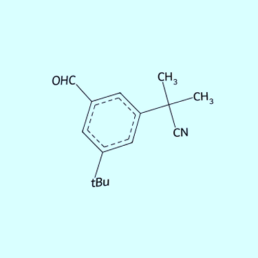 CC(C)(C)c1cc(C=O)cc(C(C)(C)C#N)c1